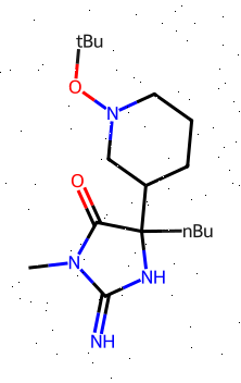 CCCCC1(C2CCCN(OC(C)(C)C)C2)NC(=N)N(C)C1=O